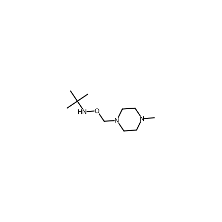 CN1CCN(CONC(C)(C)C)CC1